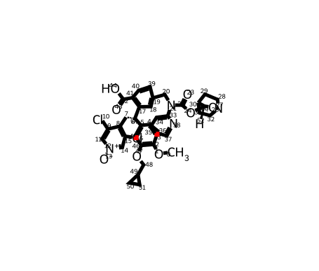 COc1ccc([C@H](Cc2c(Cl)c[n+]([O-])cc2Cl)c2cc(CN(C(=O)O[C@H]3CN4CCC3CC4)c3ccccn3)ccc2C(=O)O)cc1OCC1CC1